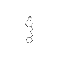 CC1CC=NC(SSSc2ncccn2)=NC1